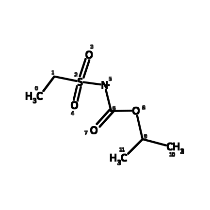 CCS(=O)(=O)[N]C(=O)OC(C)C